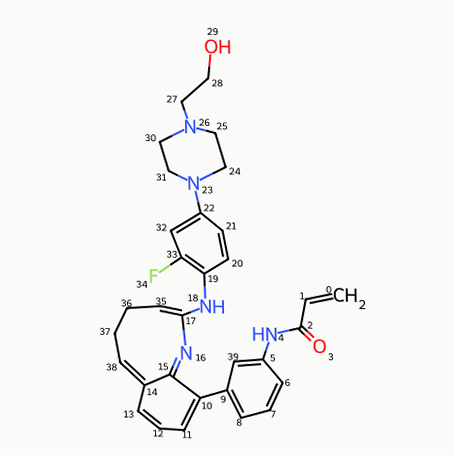 C=CC(=O)Nc1cccc(-c2cccc3/c2=N\C(Nc2ccc(N4CCN(CCO)CC4)cc2F)=C/CC\C=3)c1